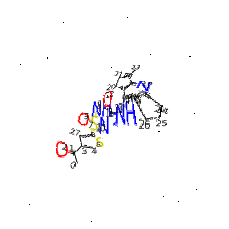 CC(=O)c1csc(S(N)(=O)=NC(=O)Nc2c3c(nc4c2CC[C@H]4C)CCC3)c1